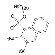 CC(C)(C)OS(=O)(=O)c1c(C(C)(C)C)c(C(C)(C)C)cc2ccccc12.[NaH]